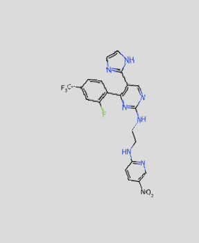 O=[N+]([O-])c1ccc(NCCNc2ncc(-c3ncc[nH]3)c(-c3ccc(C(F)(F)F)cc3F)n2)nc1